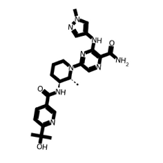 C[C@@H]1[C@H](NC(=O)c2ccc(C(C)(C)O)nc2)CCCN1c1cnc(C(N)=O)c(Nc2cnn(C)c2)n1